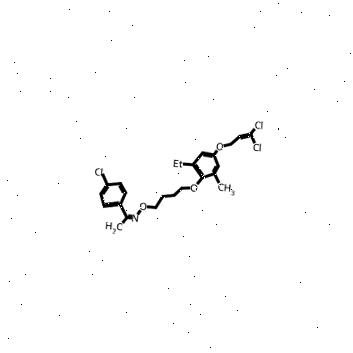 CCc1cc(OCC=C(Cl)Cl)cc(C)c1OCCCCON=C(C)c1ccc(Cl)cc1